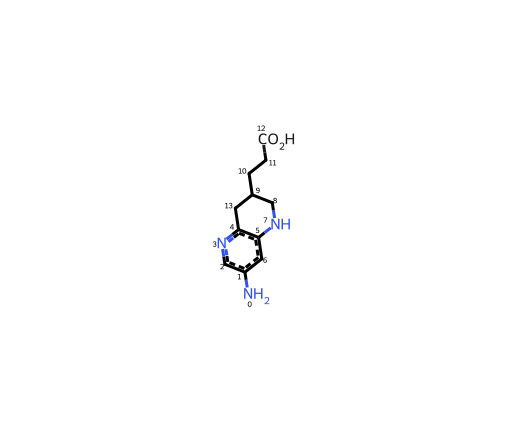 Nc1cnc2c(c1)NCC(CCC(=O)O)C2